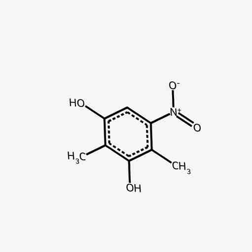 Cc1c(O)cc([N+](=O)[O-])c(C)c1O